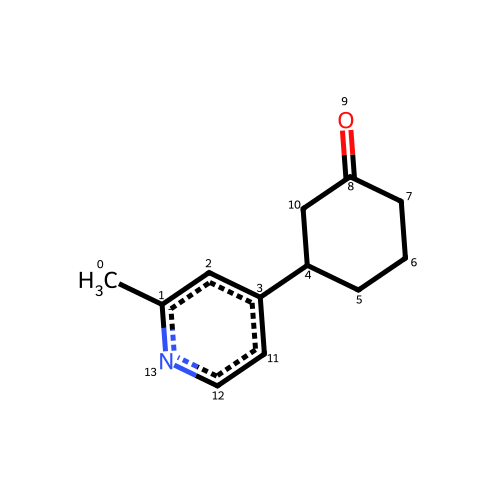 Cc1cc(C2CCCC(=O)C2)ccn1